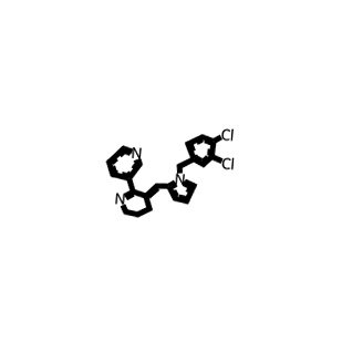 Clc1ccc(Cn2cccc2/C=C2\CCCN=C2c2cccnc2)cc1Cl